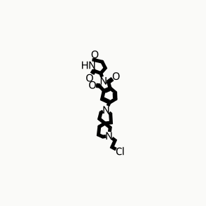 O=C1CCC(N2C(=O)c3ccc(N4CCC5(CCCN(CCCl)C5)CC4)cc3C2=O)C(=O)N1